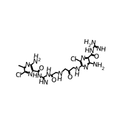 Cc1nc(N)c(C(=O)NC(=N)NC(=O)CNCC(=O)CNc2nc(N)c(C(=O)NC(=N)N)nc2Cl)nc1Cl